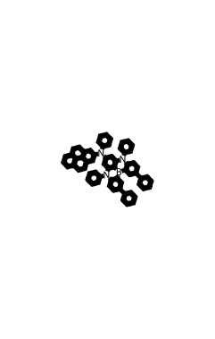 c1ccc(-c2ccc3c(c2)B2c4cc(-c5ccccc5)ccc4N(c4ccccc4)c4cc(N(c5ccccc5)c5cc6ccc7cccc8ccc(c5)c6c78)cc(c42)N3c2ccccc2)cc1